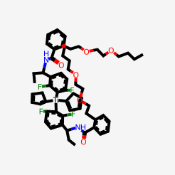 CCCCOCCOCCc1ccccc1C(=O)NC(CC)c1ccc(F)[c]([Ti]([C]2=CC=CC2)([C]2=CC=CC2)[c]2c(F)ccc(C(CC)NC(=O)c3ccccc3CCOCCOCCCC)c2F)c1F